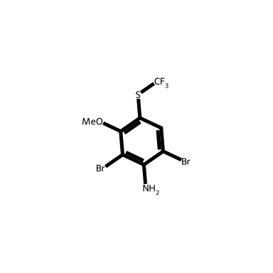 COc1c(SC(F)(F)F)cc(Br)c(N)c1Br